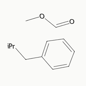 CC(C)Cc1ccccc1.COC=O